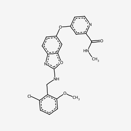 CNC(=O)c1cc(Oc2ccc3nc(NCc4c(Cl)cccc4OC)oc3c2)ccn1